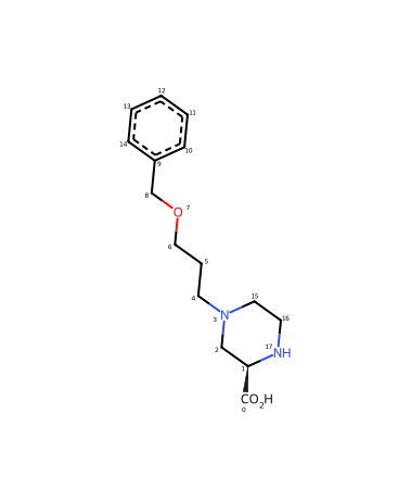 O=C(O)[C@H]1CN(CCCOCc2ccccc2)CCN1